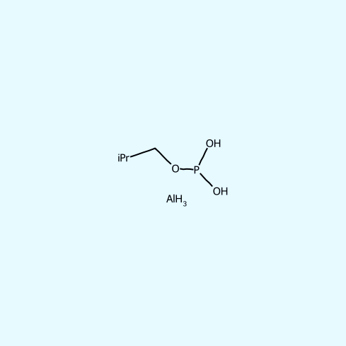 CC(C)COP(O)O.[AlH3]